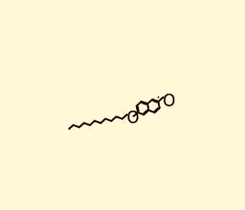 CCCCCCCCCCCCOc1ccc2cc([C]=O)ccc2c1